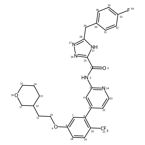 O=C(Nc1cc(-c2cc(OCCC3CCCOC3)ccc2C(F)(F)F)ccn1)c1nnc(Cc2ccc(F)cc2)[nH]1